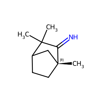 CC1(C)C(=N)[C@]2(C)CCC1C2